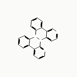 c1ccc2c(c1)B1c3ccccc3-c3cccnc3N1c1ccncc1-2